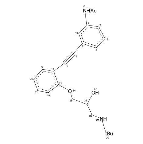 CC(=O)Nc1cccc(C#Cc2ccccc2OCC(O)CNC(C)(C)C)c1